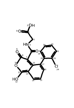 O=C(O)CNC(=O)c1c(=O)oc(O)c2cccc(-c3ccccc3Cl)c12